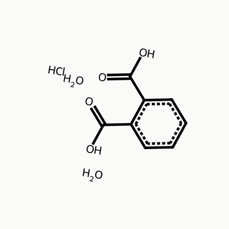 Cl.O.O.O=C(O)c1ccccc1C(=O)O